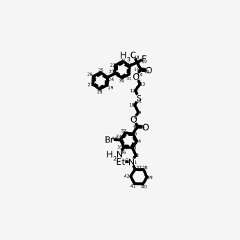 CCN(Cc1cc(C(=O)OCCSCCOC(=O)C(C)(F)c2ccc(-c3ccccc3)cc2)cc(Br)c1N)C1CCCCC1